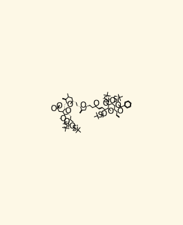 C=CCC1O[C@@H]([C@H](/C=C/C(=O)CC[C@H]2CC(=C)[C@H](CC[C@H]3CC(C)C(=C)[C@@H](C[C@@H]4O[C@H](CC(CO[Si](C)(C)C(C)(C)C)O[Si](C)(C)C(C)(C)C)[C@H](OC)C4CC(=O)OC)O3)O2)O[Si](C)(C)C(C)(C)C)C(O[Si](C)(C)C(C)(C)C)C(O[Si](C)(C)C(C)(C)C)[C@H]1OC(=O)c1ccccc1